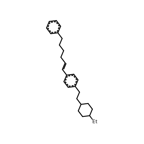 CCC1CCC(CCc2ccc(C=CCCCCc3ccccc3)cc2)CC1